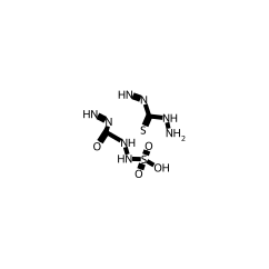 N=NC(=O)NNS(=O)(=O)O.N=NC(=S)NN